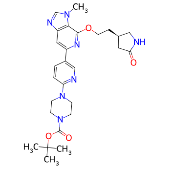 Cn1cnc2cc(-c3ccc(N4CCN(C(=O)OC(C)(C)C)CC4)nc3)nc(OCC[C@H]3CNC(=O)C3)c21